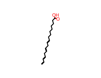 C=C/C=C/C/C=C/C/C=C/CCCCCCCC(=O)O